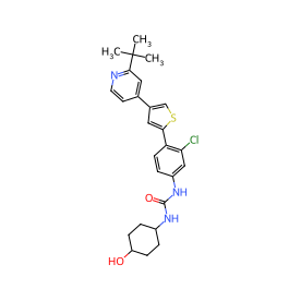 CC(C)(C)c1cc(-c2csc(-c3ccc(NC(=O)NC4CCC(O)CC4)cc3Cl)c2)ccn1